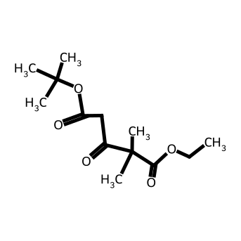 CCOC(=O)C(C)(C)C(=O)CC(=O)OC(C)(C)C